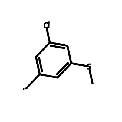 [CH2]c1cc(Cl)cc(SC)c1